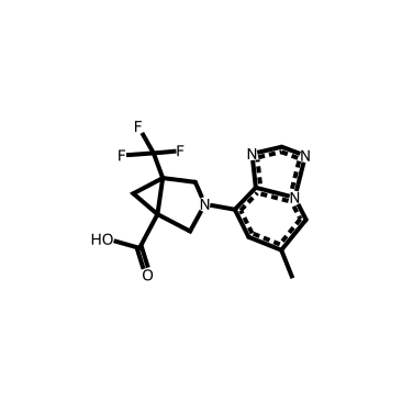 Cc1cc(N2CC3(C(=O)O)CC3(C(F)(F)F)C2)c2ncnn2c1